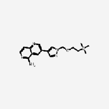 C[Si](C)(C)CCOCn1cc(-c2cnc3ccnc(N)c3c2)cn1